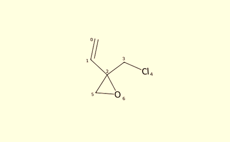 C=CC1(CCl)CO1